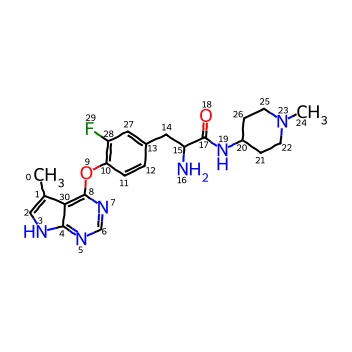 Cc1c[nH]c2ncnc(Oc3ccc(CC(N)C(=O)NC4CCN(C)CC4)cc3F)c12